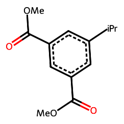 [CH2]C(C)c1cc(C(=O)OC)cc(C(=O)OC)c1